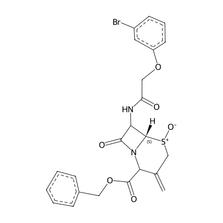 C=C1C[S+]([O-])[C@H]2C(NC(=O)COc3cccc(Br)c3)C(=O)N2C1C(=O)OCc1ccccc1